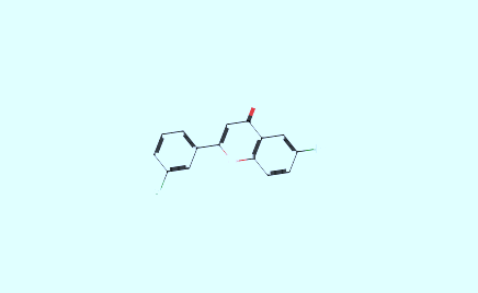 O=c1cc(-c2cccc(Br)c2)oc2ccc(Br)cc12